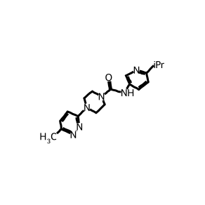 Cc1ccc(N2CCN(C(=O)Nc3ccc(C(C)C)nc3)CC2)nn1